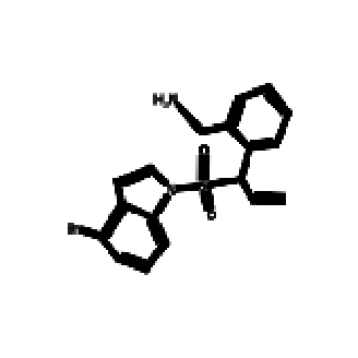 C=CC(c1ccccc1CN)S(=O)(=O)n1ccc2c(Br)cccc21